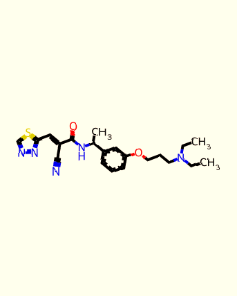 CCN(CC)CCCOc1cccc(C(C)NC(=O)/C(C#N)=C/c2nncs2)c1